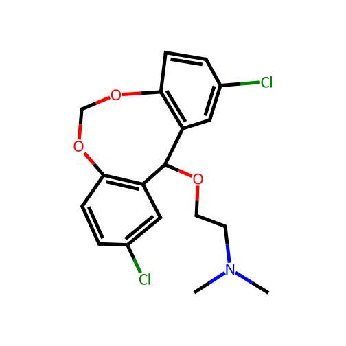 CN(C)CCOC1c2cc(Cl)ccc2OCOc2ccc(Cl)cc21